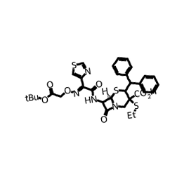 CCSC1(C(=O)O)CN2C(=O)C(NC(=O)C(=NOCC(=O)OC(C)(C)C)c3cscn3)[C@H]2SC1C(c1ccccc1)c1ccccc1